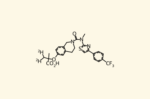 [2H]C([2H])C(C)(Oc1ccc2c(c1)CCN(C(=O)N(C)c1nc(-c3ccc(C(F)(F)F)cc3)cs1)C2)C(=O)O